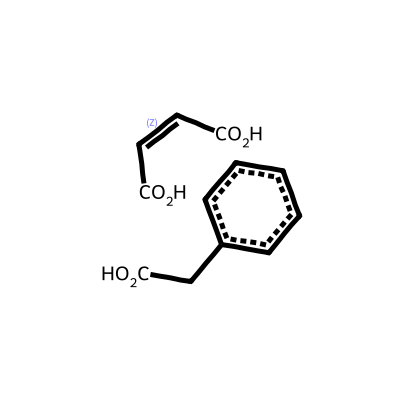 O=C(O)/C=C\C(=O)O.O=C(O)Cc1ccccc1